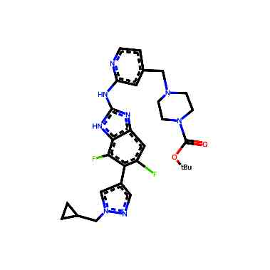 CC(C)(C)OC(=O)N1CCN(Cc2ccnc(Nc3nc4cc(F)c(-c5cnn(CC6CC6)c5)c(F)c4[nH]3)c2)CC1